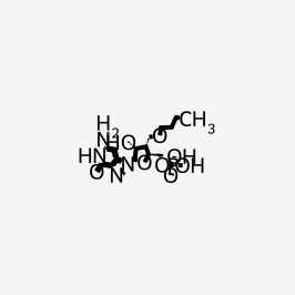 CCCCOC[C@H]1[C@@H](O)[C@H](n2cnc3c(=O)[nH]c(N)cc32)O[C@@H]1COP(=O)(O)O